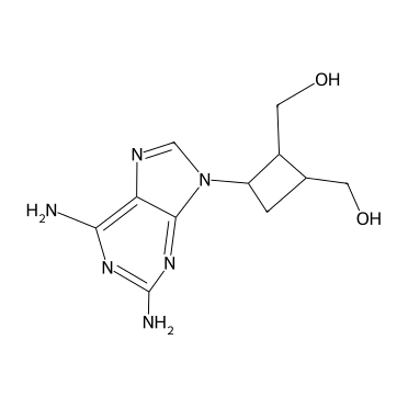 Nc1nc(N)c2ncn(C3CC(CO)C3CO)c2n1